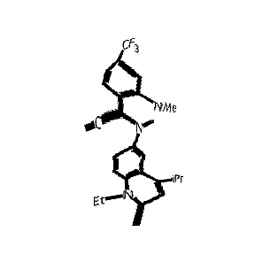 C=C=C(c1ccc(C(F)(F)F)cc1NC)N(C)c1ccc2c(c1)C(C(C)C)=CC(=C)N2CC